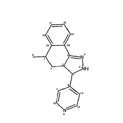 CC1CC2C(=NNC2c2ccncc2)c2ccccc21